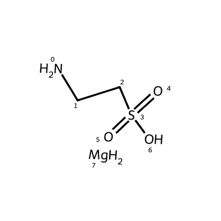 NCCS(=O)(=O)O.[MgH2]